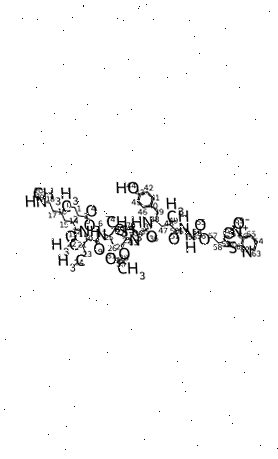 CCCC(=O)OCN(C(=O)[C@@H](NC(=O)CCCCCNC)[C@@H](C)CC)[C@H](C[C@@H](OC(C)=O)c1nc(C(=O)N[C@@H](Cc2ccc(O)cc2)C[C@H](C)C(=O)NNC(=O)OCCSSc2ncccc2[N+](=O)[O-])cs1)C(C)C